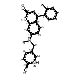 Cc1ccccc1-c1cc(=O)oc2cc(N(C)Cc3ccc(=O)[nH]c3)ccc12